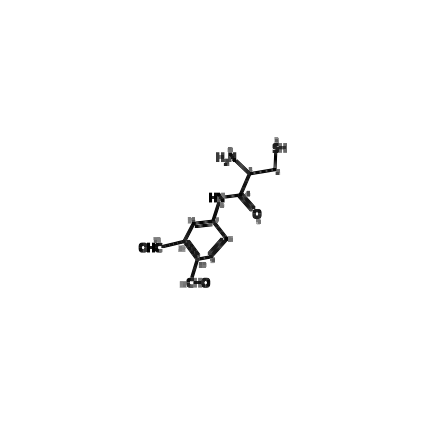 NC(CS)C(=O)Nc1ccc(C=O)c(C=O)c1